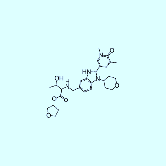 Cc1cc(C2Nc3cc(CNC(C(=O)O[C@@H]4CCOC4)C(C)O)ccc3N2C2CCOCC2)cn(C)c1=O